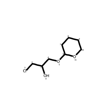 OC(CCl)COC1CCCCO1